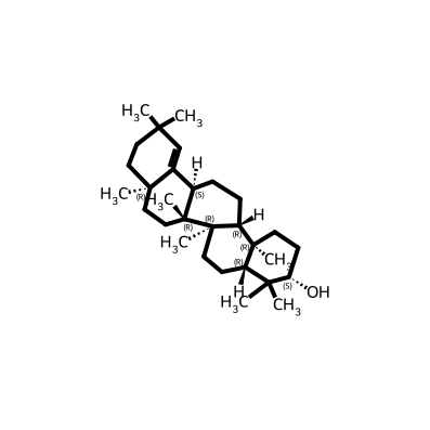 CC1(C)C=C2[C@H]3CC[C@@H]4[C@@]5(C)CC[C@H](O)C(C)(C)[C@@H]5CC[C@@]4(C)[C@]3(C)CC[C@@]2(C)CC1